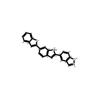 c1ccc2sc(-c3ccc4cc(-c5ccc6oncc6c5)[nH]c4c3)cc2c1